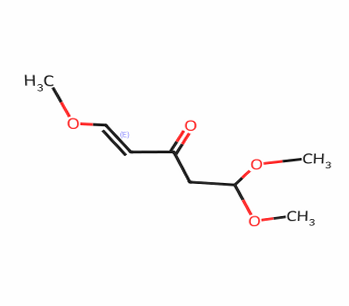 CO/C=C/C(=O)CC(OC)OC